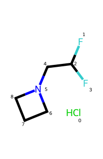 Cl.FC(F)CN1CCC1